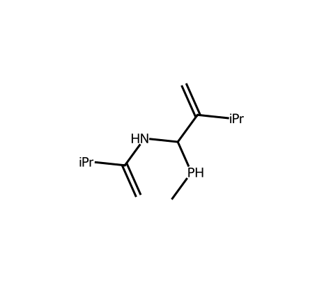 C=C(NC(PC)C(=C)C(C)C)C(C)C